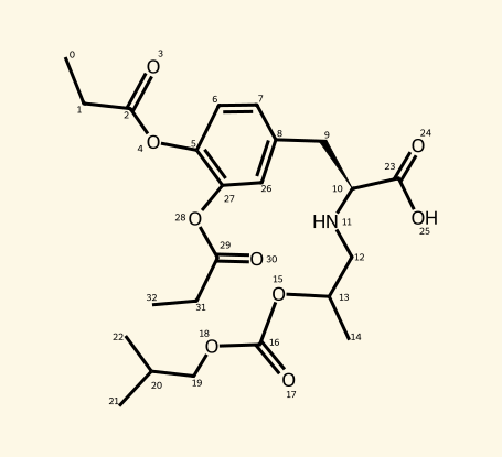 CCC(=O)Oc1ccc(C[C@H](NCC(C)OC(=O)OCC(C)C)C(=O)O)cc1OC(=O)CC